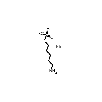 NCCCCCSS(=O)(=O)[O-].[Na+]